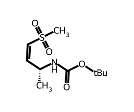 C[C@H](/C=C\S(C)(=O)=O)NC(=O)OC(C)(C)C